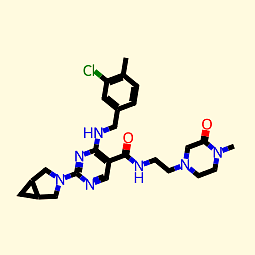 Cc1ccc(CNc2nc(N3CC4CC4C3)ncc2C(=O)NCCN2CCN(C)C(=O)C2)cc1Cl